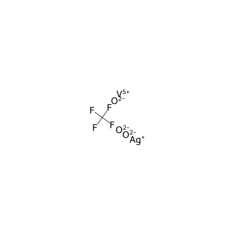 FC(F)(F)F.[Ag+].[O-2].[O-2].[O-2].[V+5]